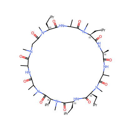 CC(C)C[C@@H]1NC(=O)[C@H](CC(C)C)N(C)C(=O)C(C)NC(=O)[C@H](C)NC(=O)[C@H](CC(C)C)N(C)C(=O)C(C)NC(=O)[C@H](CC(C)C)N(C)C(=O)CN(C)C(=O)C(C)NC(=O)C(C)N(C)C(=O)[C@H](C(C)C)N(C)C1=O